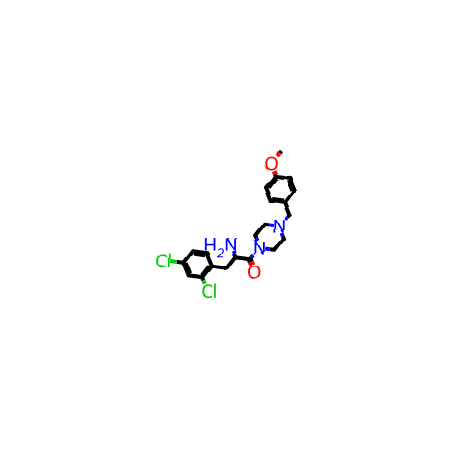 COc1ccc(CN2CCN(C(=O)C(N)Cc3ccc(Cl)cc3Cl)CC2)cc1